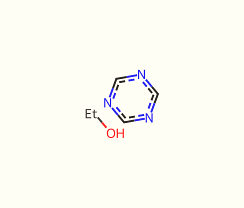 CCO.c1ncncn1